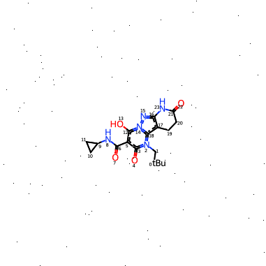 CC(C)(C)Cn1c(=O)c(C(=O)NC2CC2)c(O)n2nc3c(c12)CCC(=O)N3